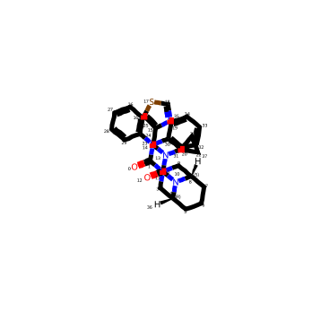 O=C(N1C[C@H]2CCC[C@@H](C1)N2C(=O)N(Cc1cscn1)C1CC1)N(c1ccccc1)c1ccccc1